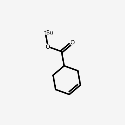 CC(C)(C)OC(=O)C1CC=CCC1